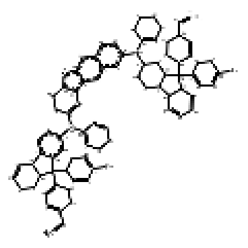 C=CC1=CC=C(C2(C3C=CC(F)=CC3)c3cc(N(C4=CCCC=C4)C4=Cc5c(sc6cc7ccc(N(C8=CCCCC8)C8CCC9C%10C=CC=CC%10C(C%10=CC=C(F)CC%10)(C%10C=CC(C=C)CC%10)C9C8)cc7cc56)CC4)ccc3C3C=CCCC32)CC1